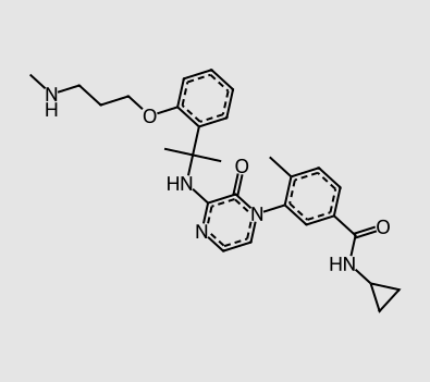 CNCCCOc1ccccc1C(C)(C)Nc1nccn(-c2cc(C(=O)NC3CC3)ccc2C)c1=O